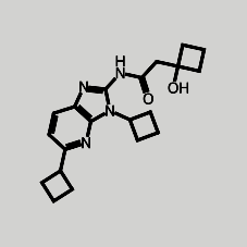 O=C(CC1(O)CCC1)Nc1nc2ccc(C3CCC3)nc2n1C1CCC1